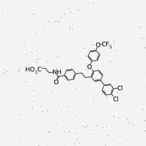 O=C(O)CCNC(=O)c1ccc(CCc2cc(-c3ccc(Cl)c(Cl)c3)ccc2Oc2ccc(OC(F)(F)F)cc2)cc1